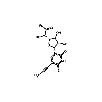 CC#Cc1cn([C@@H]2O[C@H](C(O)C(=O)C(C)C)[C@@H](O)[C@@H]2O)c(=O)[nH]c1=O